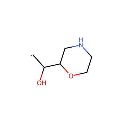 [CH2]C(O)C1CNCCO1